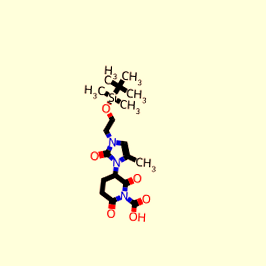 Cc1cn(CCO[Si](C)(C)C(C)(C)C)c(=O)n1C1CCC(=O)N(C(=O)O)C1=O